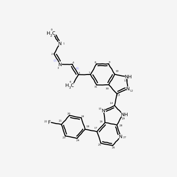 C=N/C=N\C=C(/C)c1ccc2[nH]nc(-c3nc4c(-c5ccc(F)cc5)ccnc4[nH]3)c2c1